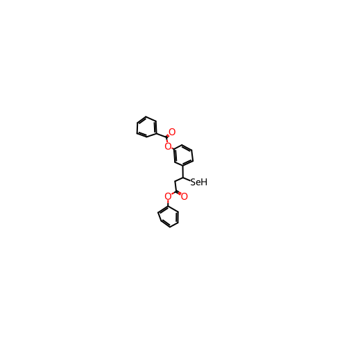 O=C(CC([SeH])c1cccc(OC(=O)c2ccccc2)c1)Oc1ccccc1